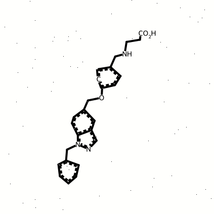 O=C(O)CCNCc1ccc(OCc2ccc3c(cnn3Cc3ccccc3)c2)cc1